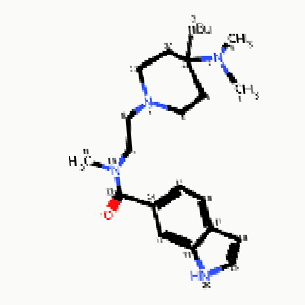 CCCCC1(N(C)C)CCN(CCN(C)C(=O)c2ccc3cc[nH]c3c2)CC1